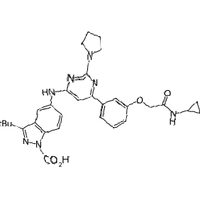 CC(C)(C)c1nn(C(=O)O)c2ccc(Nc3cc(-c4cccc(OCC(=O)NC5CC5)c4)nc(N4CCCC4)n3)cc12